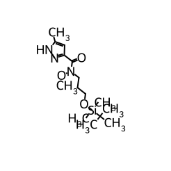 CON(CCCO[Si](C)(C)C(C)(C)C)C(=O)c1cc(C)[nH]n1